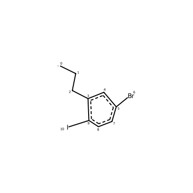 [CH2]CCc1cc(Br)ccc1I